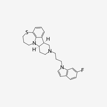 Fc1ccc2ccn(CCCN3CC[C@@H]4[C@H](C3)c3cccc5c3N4CCCS5)c2c1